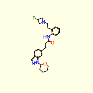 O=C(/C=C/c1ccc2cnn(C3CCCCO3)c2c1)Nc1ccccc1CCN1CC(F)C1